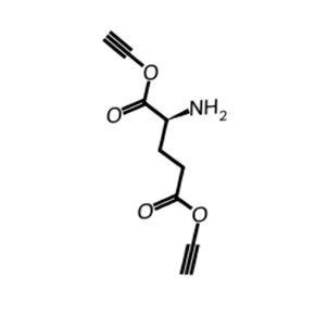 C#COC(=O)CC[C@H](N)C(=O)OC#C